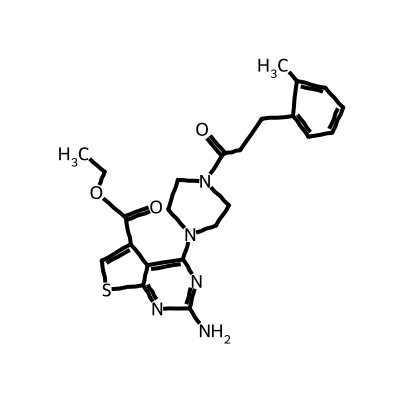 CCOC(=O)c1csc2nc(N)nc(N3CCN(C(=O)CCc4ccccc4C)CC3)c12